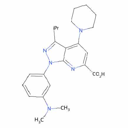 CC(C)c1nn(-c2cccc(N(C)C)c2)c2nc(C(=O)O)cc(N3CCCCC3)c12